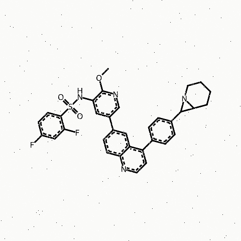 COc1ncc(-c2ccc3nccc(-c4ccc(C5C6CCCCN65)cc4)c3c2)cc1NS(=O)(=O)c1ccc(F)cc1F